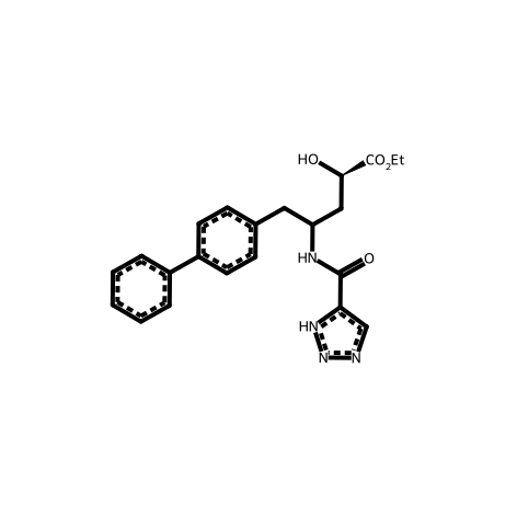 CCOC(=O)[C@H](O)CC(Cc1ccc(-c2ccccc2)cc1)NC(=O)c1cnn[nH]1